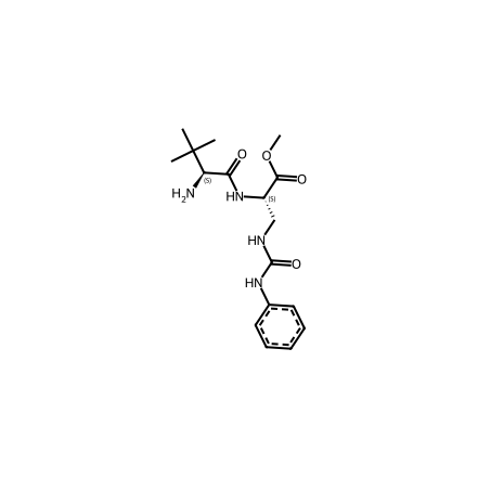 COC(=O)[C@H](CNC(=O)Nc1ccccc1)NC(=O)[C@@H](N)C(C)(C)C